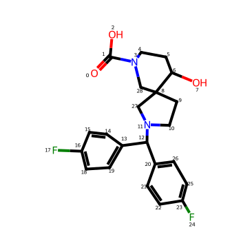 O=C(O)N1CCC(O)C2(CCN(C(c3ccc(F)cc3)c3ccc(F)cc3)C2)C1